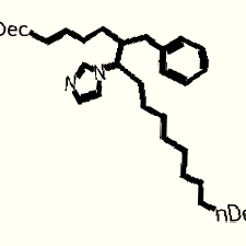 CCCCCCCCCCCCCCCCCCC(C(CCCCCCCCCCCCCC)Cc1ccccc1)n1ccnc1